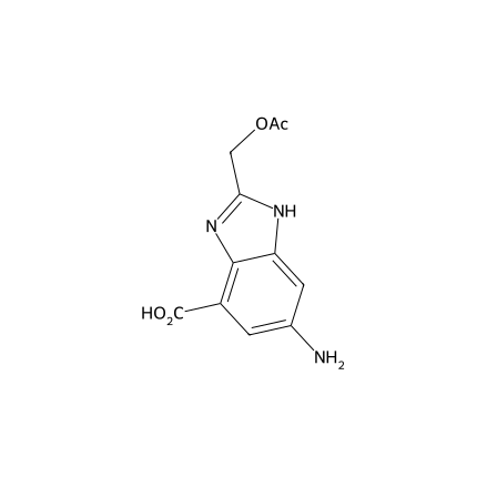 CC(=O)OCc1nc2c(C(=O)O)cc(N)cc2[nH]1